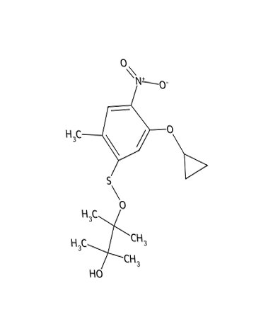 Cc1cc([N+](=O)[O-])c(OC2CC2)cc1SOC(C)(C)C(C)(C)O